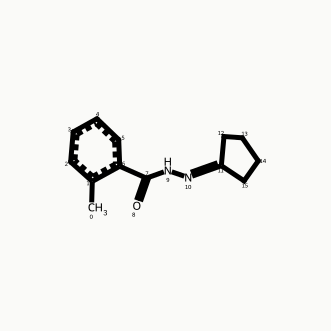 Cc1ccccc1C(=O)NN=C1CCCC1